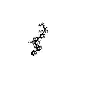 CCN(C)CCC(C)C(=O)Nc1cncc(-c2cnc3[nH]nc(-c4nc5c(-c6ccccn6)ccnc5[nH]4)c3c2)c1